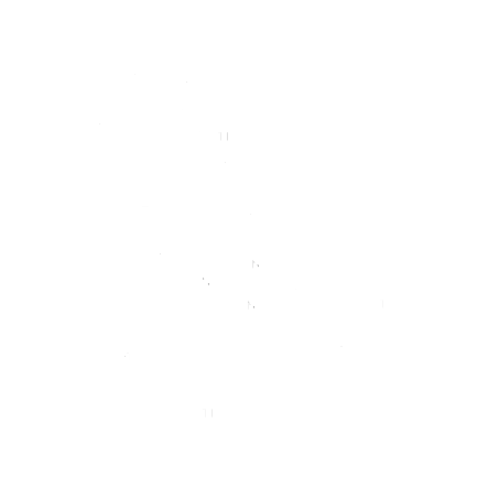 [2H]c1c([2H])c([2H])c(-c2nc(-c3c([2H])c([2H])c(-c4c([2H])c([2H])c([2H])c([2H])c4[2H])c([2H])c3[2H])nc(-c3c([2H])c([2H])c([2H])c([2H])c3F)n2)c([2H])c1[2H]